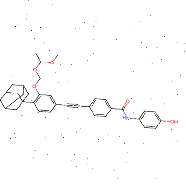 COC(C)OCOc1cc(C#Cc2ccc(C(=O)Nc3ccc(O)cc3)cc2)ccc1C12CC3CC(CC(C3)C1)C2